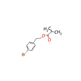 C=C(C)C(=O)OCCc1ccc(Br)cc1